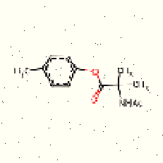 CC(=O)NC(C)(C)C(=O)Oc1ccc(C)cc1